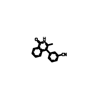 Cc1[nH]c(=O)c2ccccc2c1-c1cccc(C#N)c1